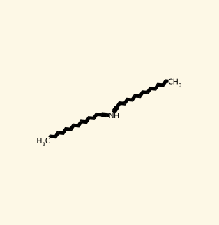 CCCCCCCCCCCCCCC#CNC#CCCCCCCCCCCCCCC